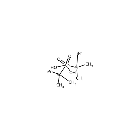 CC(C)[Si](C)(C)[Cr](=[O])(=[O])([OH])([OH])[Si](C)(C)C(C)C